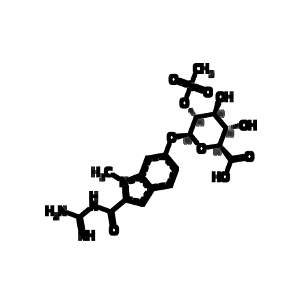 Cn1c(C(=O)NC(=N)N)cc2ccc(O[C@@H]3O[C@H](C(=O)O)[C@@H](O)[C@H](O)[C@H]3OS(C)(=O)=O)cc21